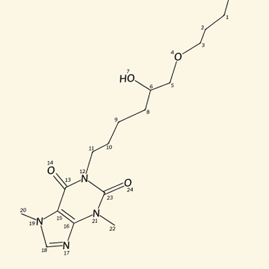 CCCCOCC(O)CCCCn1c(=O)c2c(ncn2C)n(C)c1=O